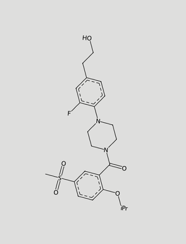 CC(C)Oc1ccc(S(C)(=O)=O)cc1C(=O)N1CCN(c2ccc(CCO)cc2F)CC1